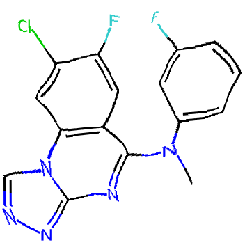 CN(c1cccc(F)c1)c1nc2nncn2c2cc(Cl)c(F)cc12